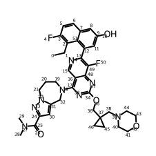 CCc1c(F)ccc2cc(O)cc(-c3ncc4c(N5CCCn6nc(C(=O)N(C)C)cc6C5)nc(OCC5(CN6CCOCC6)CC5)nc4c3F)c12